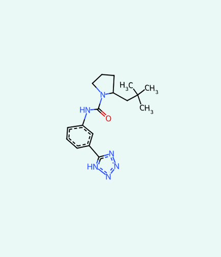 CC(C)(C)CC1CCCN1C(=O)Nc1cccc(-c2nnn[nH]2)c1